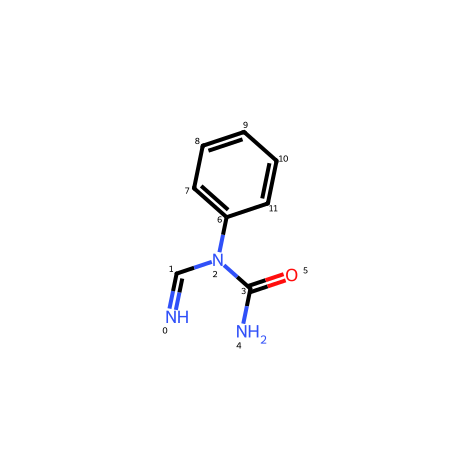 N=CN(C(N)=O)c1ccccc1